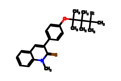 CCC(C)(C)C(C)(C)C(C)(C)Oc1ccc(-c2cc3ccccc3n(C)c2=S)cc1